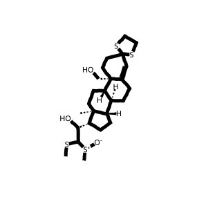 CSC(C(O)[C@H]1CC[C@H]2[C@@H]3CCC4=CC5(CC[C@]4(CO)[C@H]3CC[C@]12C)SCCS5)[S+](C)[O-]